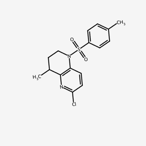 Cc1ccc(S(=O)(=O)N2CCC(C)c3nc(Cl)ccc32)cc1